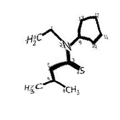 [CH2]CN(C(=S)CC(C)C)C1CCCC1